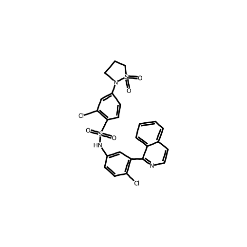 O=S(=O)(Nc1ccc(Cl)c(-c2nccc3ccccc23)c1)c1ccc(N2CCCS2(=O)=O)cc1Cl